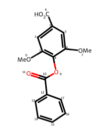 COc1cc(C(=O)O)cc(OC)c1OC(=O)c1ccccc1